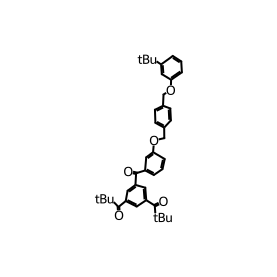 CC(C)(C)C(=O)c1cc(C(=O)c2cccc(OCc3ccc(COc4cccc(C(C)(C)C)c4)cc3)c2)cc(C(=O)C(C)(C)C)c1